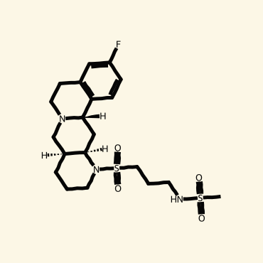 CS(=O)(=O)NCCCS(=O)(=O)N1CCC[C@H]2CN3CCc4cc(F)ccc4[C@@H]3C[C@H]21